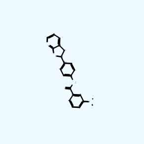 CN(C)c1cccc(C(=O)Nc2ccc(C3Cc4cccnc4O3)cc2)c1